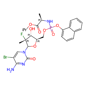 CC(C)OC(=O)[C@@H](C)NP(=O)(OC[C@H]1OC(n2cc(Br)c(N)nc2=O)[C@](C)(F)[C@@H]1O)Oc1cccc2ccccc12